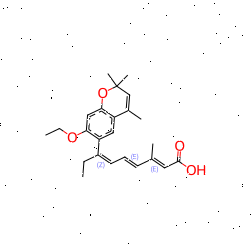 CCOc1cc2c(cc1\C(=C/C=C/C(C)=C/C(=O)O)CC)C(C)=CC(C)(C)O2